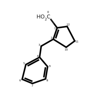 O=C(O)C1=C(Cc2ccccc2)CCC1